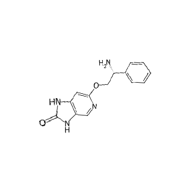 N[C@@H](COc1cc2[nH]c(=O)[nH]c2cn1)c1ccccc1